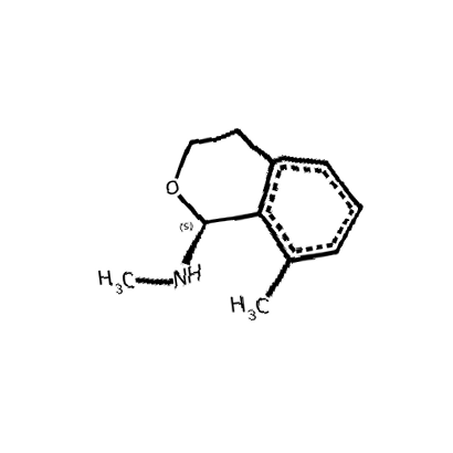 CN[C@H]1OCCc2cccc(C)c21